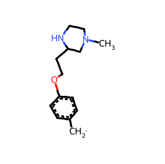 [CH2]c1ccc(OCCC2CN(C)CCN2)cc1